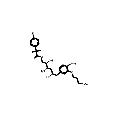 COCCCOc1cc(C[C@@H](C[C@H](N)[C@H](O)CNC(=O)C(C)(C)c2ccc(F)cc2)C(C)C)ccc1OC